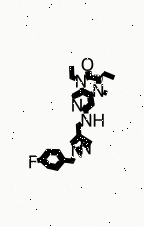 CC[C@@H]1C(=O)N(CC)c2cnc(NCc3cnn(Cc4ccc(F)cc4)c3)cc2N1C